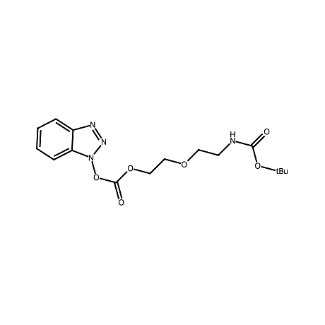 CC(C)(C)OC(=O)NCCOCCOC(=O)On1nnc2ccccc21